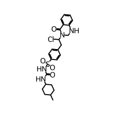 CC1CCC(NC(=O)NS(=O)(=O)c2ccc(CC(Cl)N3CNc4ccccc4C3=O)cc2)CC1